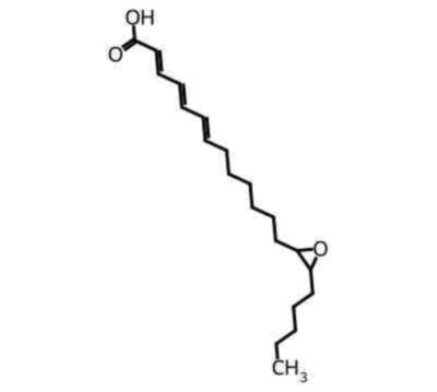 CCCCCC1OC1CCCCCCC=CC=CC=CC(=O)O